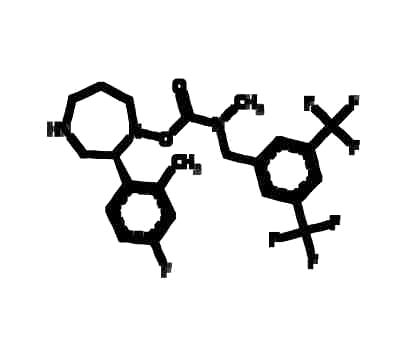 Cc1cc(F)ccc1[C@H]1CNCCCN1OC(=O)N(C)Cc1cc(C(F)(F)F)cc(C(F)(F)F)c1